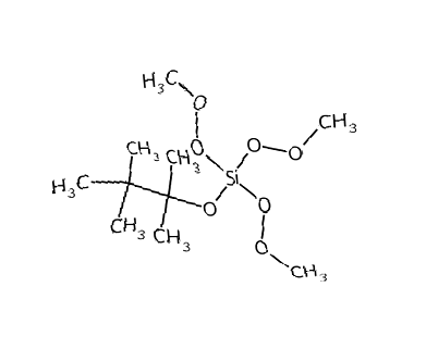 COO[Si](OOC)(OOC)OC(C)(C)C(C)(C)C